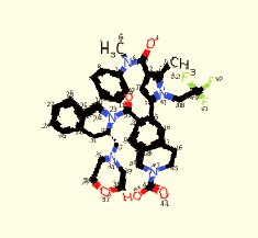 Cc1c(C(=O)N(C)c2ccccc2)cc(-c2cc3c(cc2C(=O)N2Cc4ccccc4C[C@H]2CN2CCOCC2)CN(C(=O)O)CC3)n1CC(F)(F)F